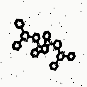 C1=CC(C2=CC(c3ccccc3)CC(c3ccccc3)=N2)=NC(n2c3ccccc3c3c4c(ccc32)c2ccccc2n4-c2cccc(C3CC(c4ccccc4)=CC(c4ccccc4)=N3)n2)C1